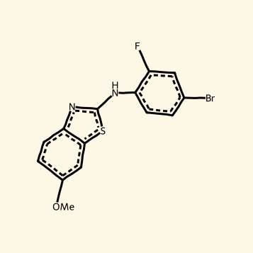 COc1ccc2nc(Nc3ccc(Br)cc3F)sc2c1